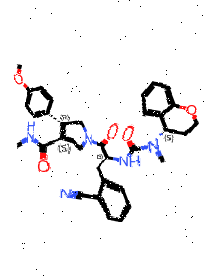 CNC(=O)[C@@H]1CN(C(=O)[C@H](Cc2ccccc2C#N)NC(=O)N(C)[C@H]2CCOc3ccccc32)C[C@H]1c1ccc(OC)cc1